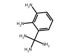 Nc1cccc(C(N)(N)N)c1N